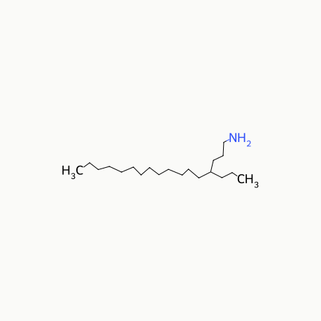 CCCCCCCCCCCCCC(CCC)CCCN